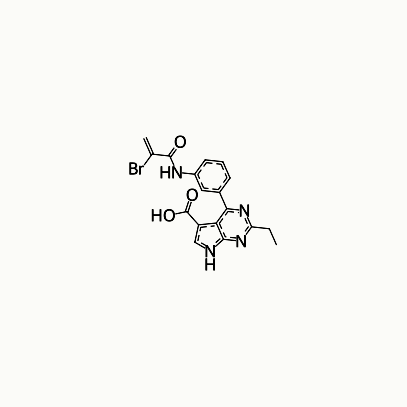 C=C(Br)C(=O)Nc1cccc(-c2nc(CC)nc3[nH]cc(C(=O)O)c23)c1